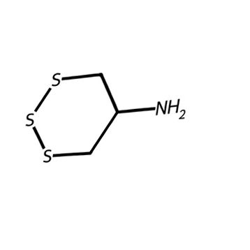 NC1CSSSC1